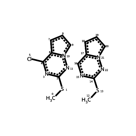 CSc1nc(Cl)c2cccn2n1.CSc1ncc2cccn2n1